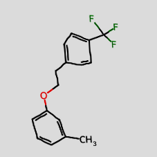 Cc1cccc(OCCc2ccc(C(F)(F)F)cc2)c1